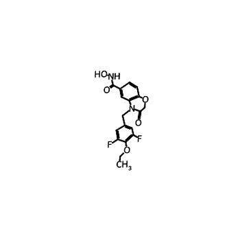 CCOc1c(F)cc(CN2C(=O)COc3ccc(C(=O)NO)cc32)cc1F